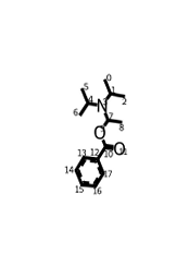 CC(C)N(C(C)C)C(C)OC(=O)c1ccccc1